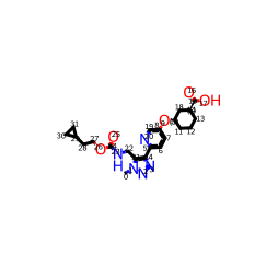 Cn1nnc(-c2ccc(O[C@H]3CCC[C@H](C(=O)O)C3)cn2)c1CNC(=O)OCCC1CC1